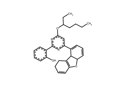 CCCCC(CC)Oc1cc(C2=CC=CC3OC4=C(CCC=C4)C23)nc(-c2ccccc2O)n1